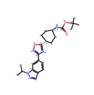 CC(C)n1ncc2ccc(-c3noc([C@H]4CC[C@H](NC(=O)OC(C)(C)C)CC4)n3)cc21